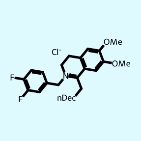 CCCCCCCCCCCC1=[N+](Cc2ccc(F)c(F)c2)CCc2cc(OC)c(OC)cc21.[Cl-]